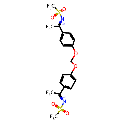 O=S(=O)(/N=C(/c1ccc(OCOc2ccc(/C(=N/S(=O)(=O)C(F)(F)F)C(F)(F)F)cc2)cc1)C(F)(F)F)C(F)(F)F